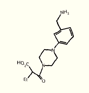 C[CH]C(C(=O)O)C(=O)N1CCN(c2cccc(CN)c2)CC1